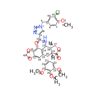 COc1ccc(Cn2cc(C(=O)N[C@@H]3c4cc5c(cc4[C@@H](c4cc(OC)c(OC)c(OC)c4)[C@H]4C(=O)OC[C@@H]43)OCO5)nn2)cc1Cl